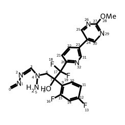 C=N/N=C\N(N)CC(O)(c1ccc(F)cc1F)C(F)(F)c1ccc(-c2cnc(OC)nc2)cn1